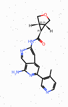 Cc1ccncc1-c1cc2cc(NC(=O)[C@H]3[C@@H]4COC[C@@H]43)ncc2c(N)n1